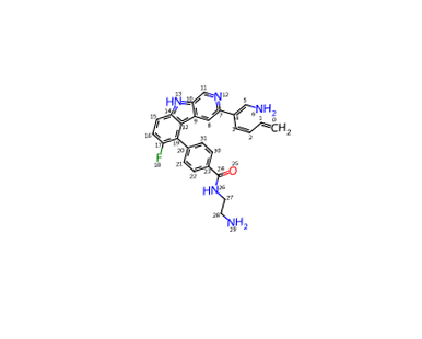 C=C/C=C\C(=C/N)c1cc2c(cn1)[nH]c1ccc(F)c(-c3ccc(C(=O)NCCN)cc3)c12